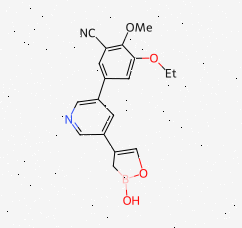 CCOc1cc(-c2cncc(C3=COB(O)C3)c2)cc(C#N)c1OC